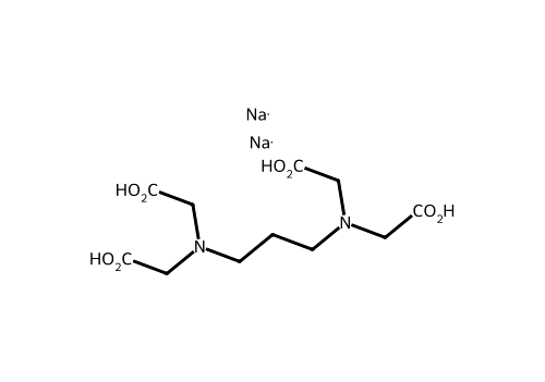 O=C(O)CN(CCCN(CC(=O)O)CC(=O)O)CC(=O)O.[Na].[Na]